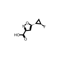 O=C(O)c1cc([C@@H]2C[C@H]2F)on1